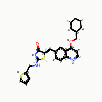 O=C1N=C(NCc2cccs2)S/C1=C\c1ccc2nccc(OCC3CCCCC3)c2c1